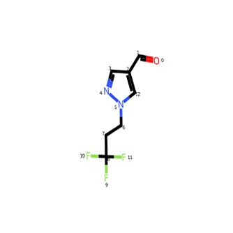 O=Cc1cnn(CCC(F)(F)F)c1